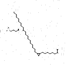 CCCCCCCCCC(CCCCCCCCCCC1CC1CCCCCCC(C)C(=O)O)OC(=O)CCCN(C)C